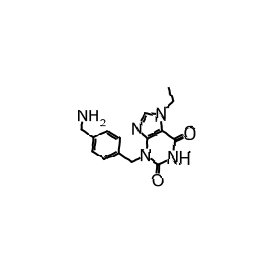 CCn1cnc2c1c(=O)[nH]c(=O)n2Cc1ccc(CN)cc1